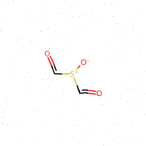 O=C[S+]([O-])C=O